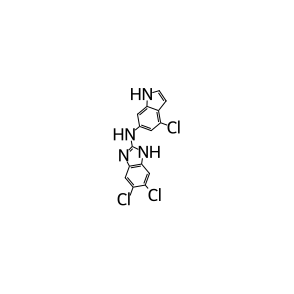 Clc1cc2nc(Nc3cc(Cl)c4cc[nH]c4c3)[nH]c2cc1Cl